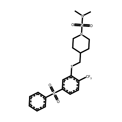 CN(C)S(=O)(=O)N1CCC(CSc2cc(S(=O)(=O)c3ccccc3)ccc2C(F)(F)F)CC1